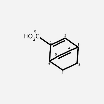 O=C(O)C1=CC2C=CC1CC2